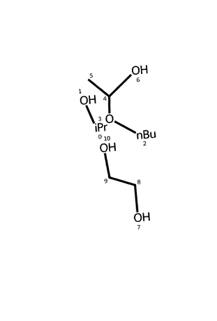 CC(C)O.CCCCOC(C)O.OCCO